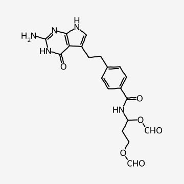 Nc1nc2[nH]cc(CCc3ccc(C(=O)NC(CCOC=O)OC=O)cc3)c2c(=O)[nH]1